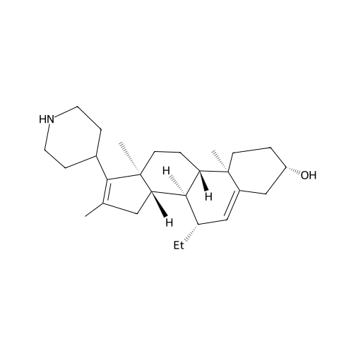 CC[C@H]1C=C2C[C@@H](O)CC[C@]2(C)[C@H]2CC[C@]3(C)C(C4CCNCC4)=C(C)C[C@H]3[C@H]12